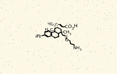 CC(C)c1ccc2c(c1)CCC1[C@@](C)(C=NOCCCN)CCC[C@]21C.O=C(O)/C=C/C(=O)O